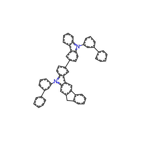 c1ccc(-c2cccc(-n3c4ccccc4c4cc(-c5ccc6c(c5)c5cc7c(cc5n6-c5cccc(-c6ccccc6)c5)Cc5ccccc5-7)ccc43)c2)cc1